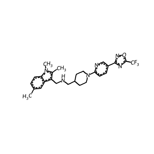 Cc1ccc2c(c1)c(CNCC1CCN(c3ccc(-c4noc(C(F)(F)F)n4)cn3)CC1)c(C)n2C